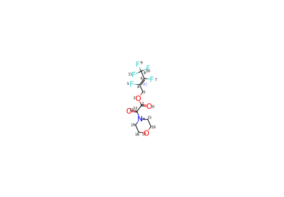 O=C(OC/C(F)=C(\F)C(F)(F)F)C(=O)N1CCOCC1